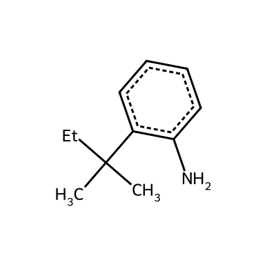 CCC(C)(C)c1ccccc1N